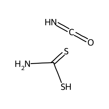 N=C=O.NC(=S)S